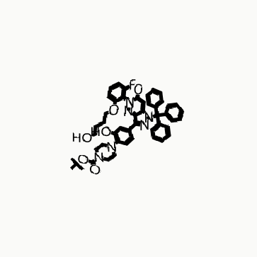 CC(C)(C)OC(=O)N1CCN(c2ccc(-c3nn(C(c4ccccc4)(c4ccccc4)c4ccccc4)c4cc(=O)n(-c5c(F)cccc5OCCCCO)nc34)cc2O)CC1